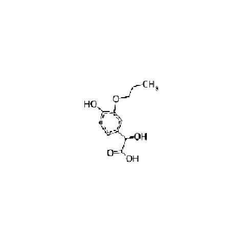 CCCOc1cc([C@@H](O)C(=O)O)ccc1O